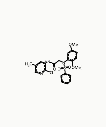 COc1ccc(OC)c(N(CC(=O)Nc2cc(C)cnc2Cl)S(=O)(=O)c2ccccc2)c1